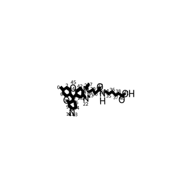 C=c1ccc2c(c1)Oc1cc(N(C)C)ccc1C=2c1cc(N(C)C)c(N(CC)CCCC(=O)NCCCCCC(=O)O)cc1OC